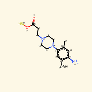 COc1cc(N2CCN(CCC(=O)OS)CC2)c(C)cc1N